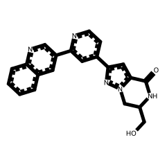 O=C1NC(CO)Cn2nc(-c3ccnc(-c4cnc5ccccc5c4)c3)cc21